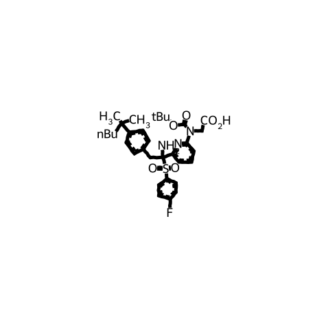 CCCCC(C)(C)c1ccc(CC(N)(c2cccc(N(CC(=O)O)C(=O)OC(C)(C)C)n2)S(=O)(=O)c2ccc(F)cc2)cc1